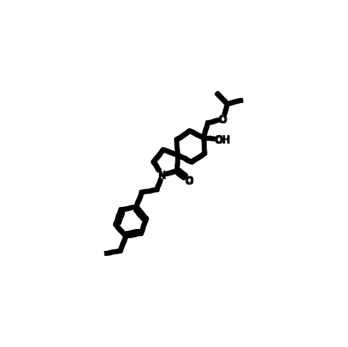 CCc1ccc(CCN2CCC3(CCC(O)(COC(C)C)CC3)C2=O)cc1